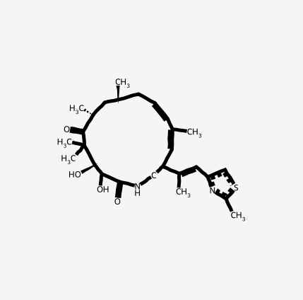 CC1=CC(C(C)=Cc2csc(C)n2)CNC(=O)C(O)[C@@H](O)C(C)(C)C(=O)[C@H](C)C[C@@H](C)CC=C1